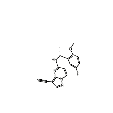 COc1ccc(F)cc1[C@@H](C)Nc1ccn2ncc(C#N)c2n1